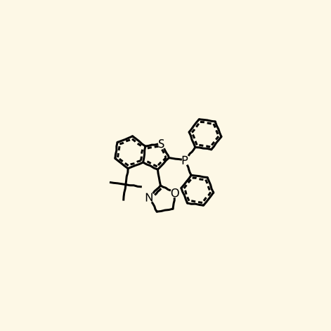 CC(C)(C)c1cccc2sc(P(c3ccccc3)c3ccccc3)c(C3=NCCO3)c12